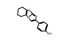 Oc1ccc(-c2cn3c4c(sc3n2)CCCC4)cc1